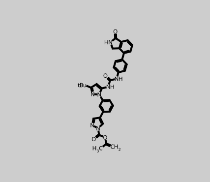 C=C(C)OC(=O)n1cc(-c2cccc(-n3nc(C(C)(C)C)cc3NC(=O)Nc3ccc(-c4cccc5c4CNC5=O)cc3)c2)cn1